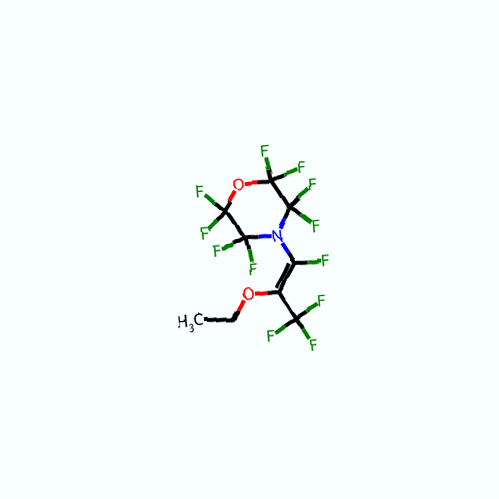 CCOC(=C(F)N1C(F)(F)C(F)(F)OC(F)(F)C1(F)F)C(F)(F)F